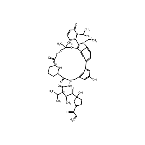 C=CC(=O)N1CCC(O)(C(=O)N(C)[C@H](C(=O)N[C@H]2Cc3cc(O)cc(c3)-c3ccc4c(c3)c(c(-c3cccc(=O)n3C(C)C)n4CC)CC(C)(C)COC(=O)[C@@H]3CCCN(N3)C2=O)C(C)C)C1